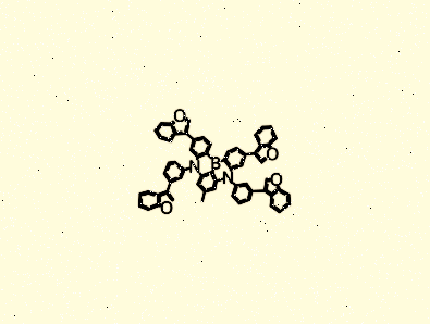 Cc1cc2c3c(c1)N(c1cccc(-c4coc5ccccc45)c1)c1cc(-c4coc5ccccc45)ccc1B3c1ccc(-c3coc4ccccc34)cc1N2c1cccc(-c2coc3ccccc23)c1